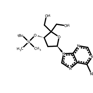 CC(C)(C)[Si](C)(C)O[C@H]1C[C@H](n2cnc3c(N)ncnc32)OC1(CO)CO